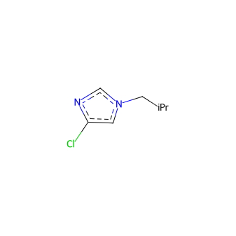 CC(C)Cn1cnc(Cl)c1